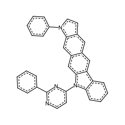 c1ccc(-c2nccc(-n3c4ccccc4c4cc5cc6ccn(-c7ccccc7)c6cc5cc43)n2)cc1